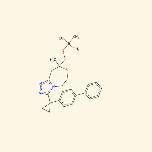 CC1(CO[Si](C)(C)C(C)(C)C)Cc2nnc(C3(c4ccc(-c5ccccc5)cc4)CC3)n2CCS1